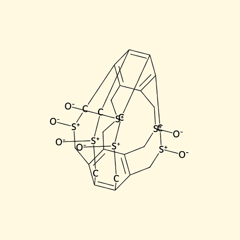 [O-][S+]1Cc2c3c4c5c6c2C[S+]([O-])Cc2c(c(c(c(c2C[S+]([O-])C6)C[S+]([O-])C5)C[S+]([O-])C4)C[S+]([O-])C3)C1